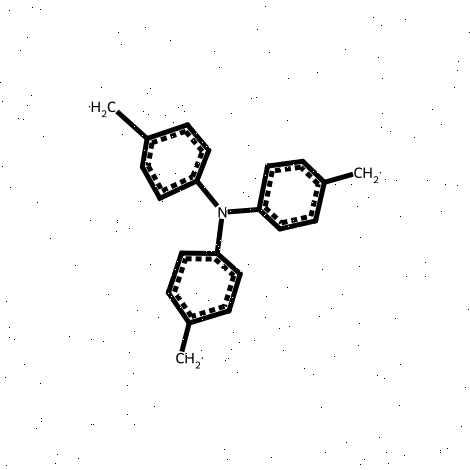 [CH2]c1ccc(N(c2ccc([CH2])cc2)c2ccc([CH2])cc2)cc1